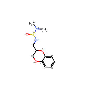 CN(C)[S+]([O-])NCC1COc2ccccc2O1